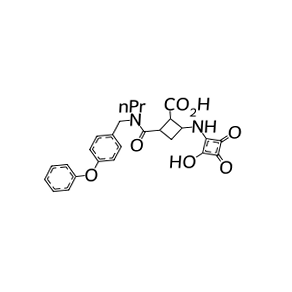 CCCN(Cc1ccc(Oc2ccccc2)cc1)C(=O)C1CC(Nc2c(O)c(=O)c2=O)C1C(=O)O